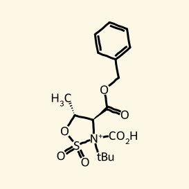 C[C@H]1OS(=O)(=O)[N+](C(=O)O)(C(C)(C)C)[C@@H]1C(=O)OCc1ccccc1